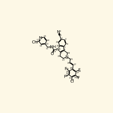 N#Cc1ccc2c3c(n(C(=O)NCc4ccnc(Cl)c4)c2c1)CCN(CC=Cc1c(F)c(F)c(Cl)c(F)c1F)C3